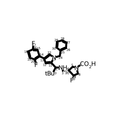 CC(C)(C)C(NC[C@@H]1CN(C(=O)O)C[C@@H]1F)c1cc(-c2cc(F)ccc2F)cn1Cc1ccccc1